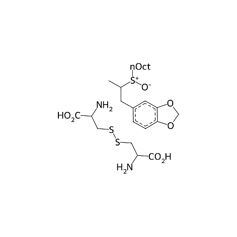 CCCCCCCC[S+]([O-])C(C)Cc1ccc2c(c1)OCO2.NC(CSSCC(N)C(=O)O)C(=O)O